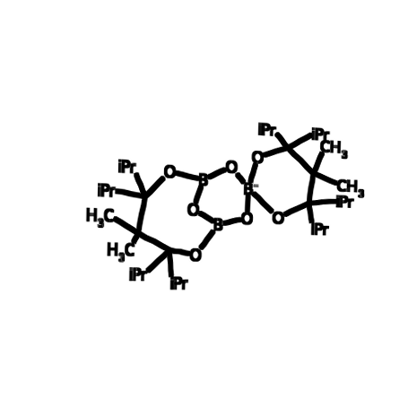 CC(C)C1(C(C)C)OB2OB(O[B-]3(O2)OC(C(C)C)(C(C)C)C(C)(C)C(C(C)C)(C(C)C)O3)OC(C(C)C)(C(C)C)C1(C)C